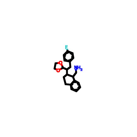 NCC1c2ccccc2CCC1C(Cc1ccc(F)cc1)C1OCCO1